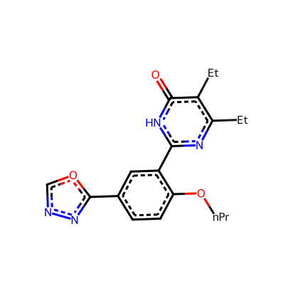 CCCOc1ccc(-c2nnco2)cc1-c1nc(CC)c(CC)c(=O)[nH]1